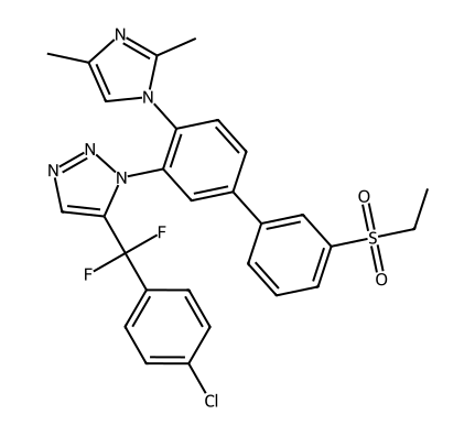 CCS(=O)(=O)c1cccc(-c2ccc(-n3cc(C)nc3C)c(-n3nncc3C(F)(F)c3ccc(Cl)cc3)c2)c1